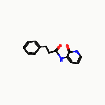 O=C(CCc1ccccc1)NC1=CC=C[N]C1=O